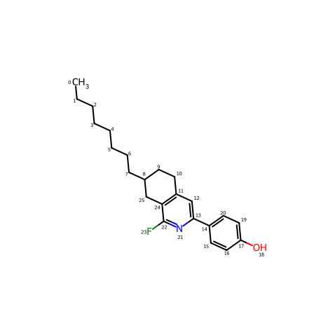 CCCCCCCCC1CCc2cc(-c3ccc(O)cc3)nc(F)c2C1